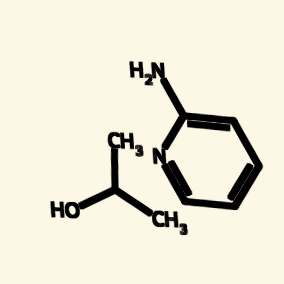 CC(C)O.Nc1ccccn1